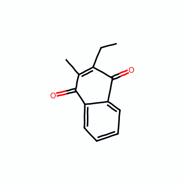 CCC1=C(C)C(=O)c2ccccc2C1=O